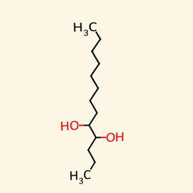 CCCCCCCCC(O)C(O)CCC